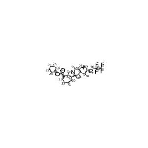 Cc1cc(C(C)N2CC3=C(C=CCC=C3C(=O)Oc3ccccc3)C2=O)cnc1OCC(F)(F)C(F)F